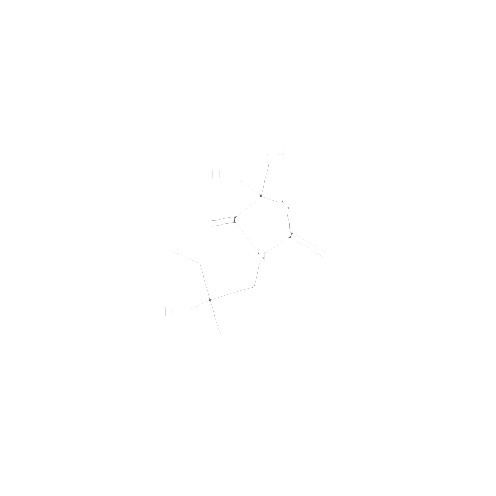 CC(O)(CCl)CN1C(=O)NC(C)(C)C1=O